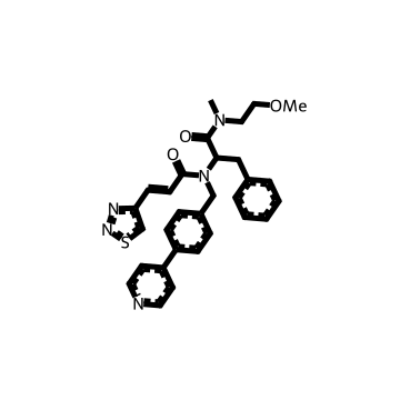 COCCN(C)C(=O)C(Cc1ccccc1)N(Cc1ccc(-c2ccncc2)cc1)C(=O)C=Cc1csnn1